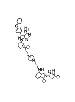 Nc1ncnc2c1c(-c1ccc(Oc3ccccc3)cc1)nn2[C@@H]1CCCN(C(=O)CCCN2CCN(CCCCNc3cccc4c3CN(C3CCC(=O)NC3=O)C4=O)CC2)C1